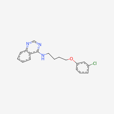 Clc1cccc(OCCCCNc2ncnc3ccccc23)c1